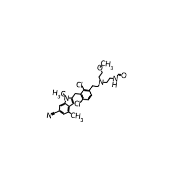 COCCN(CCNC=O)CCc1ccc(Cl)c(Cc2cc3c(C)cc(C#N)cc3n2C)c1Cl